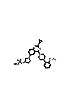 COc1ccccc1C1CCN(c2nc(C3CC3)nc3ccc(N4CCC(O[Si](C)(C)C(C)(C)C)C4)cc23)CC1